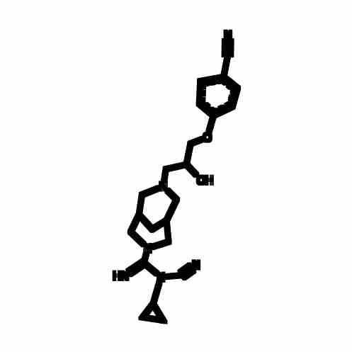 N#Cc1ccc(OCC(O)CN2CC3CC(C2)CN(C(=N)N(C#N)C2CC2)C3)cc1